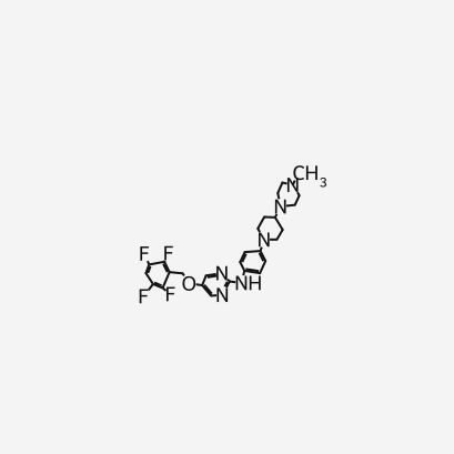 CN1CCN(C2CCN(c3ccc(Nc4ncc(OCc5c(F)c(F)cc(F)c5F)cn4)cc3)CC2)CC1